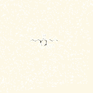 CCCCC(=O)N[C@@H](CCSC)C(=O)O